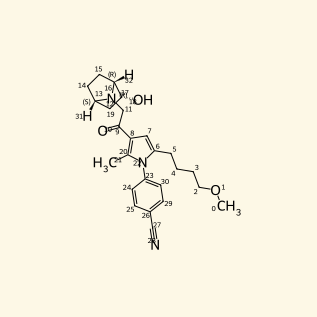 COCCCCc1cc(C(=O)CN2[C@H]3CC[C@@H]2[C@H](O)C3)c(C)n1-c1ccc(C#N)cc1